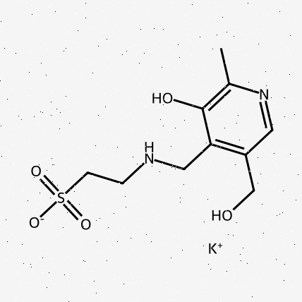 Cc1ncc(CO)c(CNCCS(=O)(=O)[O-])c1O.[K+]